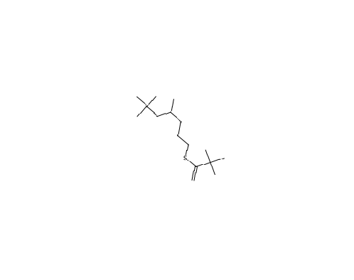 C=C(SCCCC(C)CC(C)(C)C)C(C)(C)C